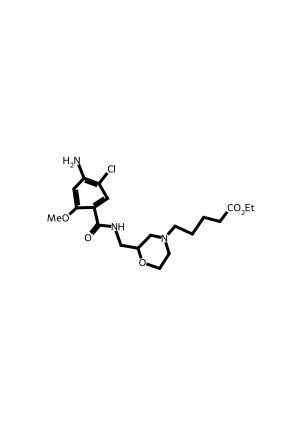 CCOC(=O)CCCCN1CCOC(CNC(=O)c2cc(Cl)c(N)cc2OC)C1